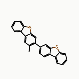 Cc1cc2c(cc1-c1ccc3c(c1)sc1ccccc13)sc1ccccc12